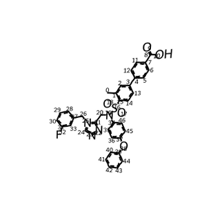 Cc1cc(-c2ccc(C(=O)O)cc2)ccc1S(=O)(=O)N(Cc1nncn1Cc1cccc(F)c1)c1ccc(Oc2ccccc2)cc1